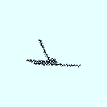 CCCCCCCCCCCCCCCCCCC(CCCCCCCCCCCCCCCCC)OC(=O)SC(=O)OC(CCCCCCCCCCCCCCCCC)CCCCCCCCCCCCCCCCCC